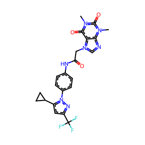 Cn1c(=O)c2c(ncn2CC(=O)Nc2ccc(-n3nc(C(F)(F)F)cc3C3CC3)cc2)n(C)c1=O